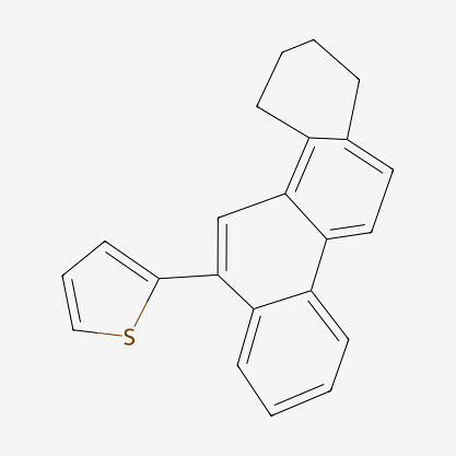 c1csc(-c2cc3c4c(ccc3c3ccccc23)CCCC4)c1